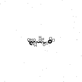 O=C(COc1ccc(Cl)c(Cl)c1)NC[C@@H](O)CCNC(=O)c1cc(CO)ccn1